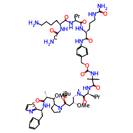 CC[C@H](C)[C@@H]([C@@H](CC(=O)N1CCC[C@H]1[C@H](OC)[C@@H](C)C(=O)N[C@@H](Cc1ccccc1)c1nccs1)OC)N(C)C(=O)[C@@H](NC(=O)C(C)(C)NC(=O)OCc1ccc(NC(=O)[C@H](CCCNC(N)=O)NC(=O)[C@@H](NC(=O)[C@H](CCCCN)NC(=O)CN)C(C)C)cc1)C(C)C